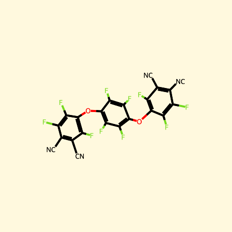 [C-]#[N+]c1c(F)c(F)c(Oc2c(F)c(F)c(Oc3c(F)c(F)c(C#N)c(C#N)c3F)c(F)c2F)c(F)c1C#N